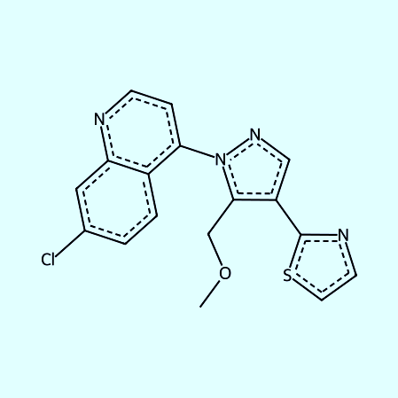 COCc1c(-c2nccs2)cnn1-c1ccnc2cc(Cl)ccc12